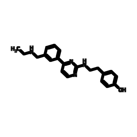 CCNCc1cccc(-c2ccnc(NCCc3ccc(O)cc3)n2)c1